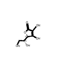 O=C1O[C@@H]([C@H](O)CO)C(O)=C1O